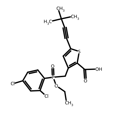 CCOP(=O)(Cc1cc(C#CC(C)(C)C)sc1C(=O)O)c1ccc(Cl)cc1Cl